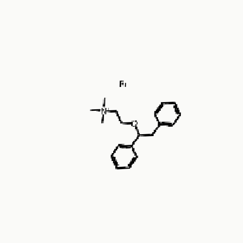 C[N+](C)(C)CCOC(Cc1ccccc1)c1ccccc1.[Br-]